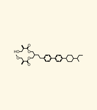 C=C(CO)C(=O)OCC(CCc1ccc(-c2ccc(C3CCC(C(C)CC)CC3)cc2)cc1)COC(=O)C(=C)COC